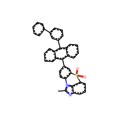 Cc1nc2cccc3c2n1-c1ccc(-c2c4ccccc4c(-c4cccc(-c5ccccc5)c4)c4ccccc24)cc1S3(=O)=O